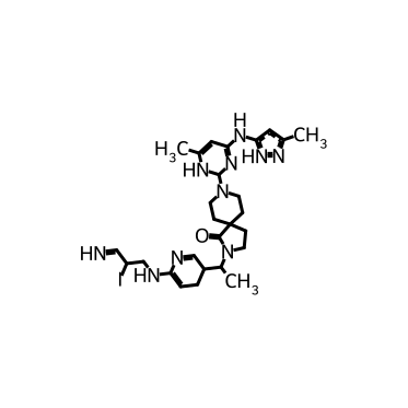 CC1=CC(Nc2cc(C)n[nH]2)=NC(N2CCC3(CC2)CCN(C(C)C2C=NC(NCC(I)C=N)=CC2)C3=O)N1